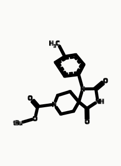 Cc1ccc(N2C(=O)NC(=O)C23CCN(C(=O)OC(C)(C)C)CC3)cc1